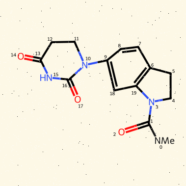 CNC(=O)N1CCc2ccc(N3CCC(=O)NC3=O)cc21